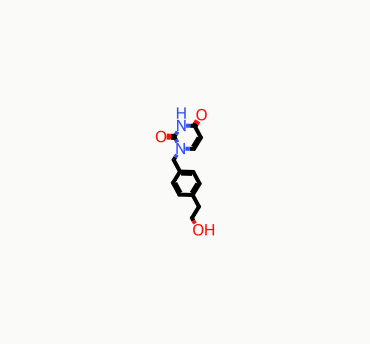 O=c1ccn(Cc2ccc(CCO)cc2)c(=O)[nH]1